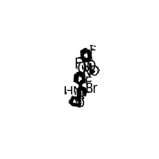 COCN(c1cccc(C2=C(Br)CN(C3CCCCO3)N2)c1F)S(=O)(=O)c1cc(F)ccc1F